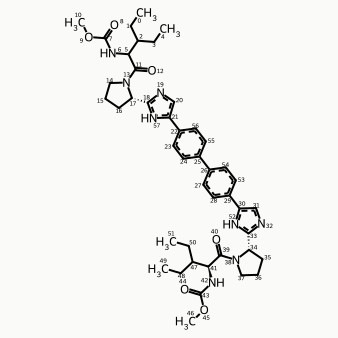 CCC(CC)C(NC(=O)OC)C(=O)N1CCC[C@H]1c1ncc(-c2ccc(-c3ccc(-c4cnc([C@@H]5CCCN5C(=O)[C@@H](NC(=O)OC)C(CC)CC)[nH]4)cc3)cc2)[nH]1